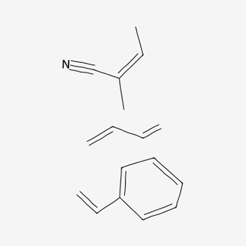 C=CC=C.C=Cc1ccccc1.CC=C(C)C#N